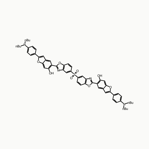 CCCCN(CCCC)c1ccc(-c2cc3cc(-c4nc5cc(S(=O)(=O)c6ccc7oc(-c8cc9cc(-c%10ccc(N(CCCC)CCCC)cc%10)oc9cc8O)nc7c6)ccc5o4)c(O)cc3o2)cc1